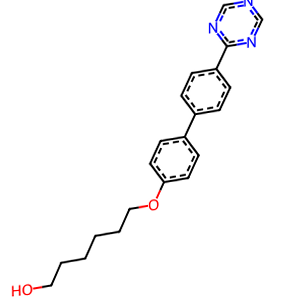 OCCCCCCOc1ccc(-c2ccc(-c3ncncn3)cc2)cc1